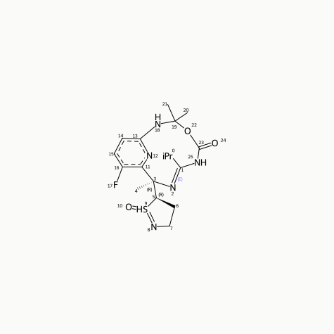 CC(C)/C1=N\[C@@](C)([C@H]2CCN=[SH]2=O)c2nc(ccc2F)NC(C)(C)OC(=O)N1